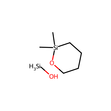 C[Si]1(C)CCCCO1.O[SiH3]